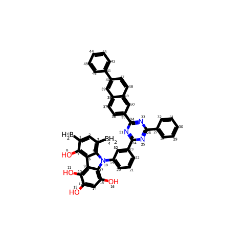 Bc1cc(B)c2c(c1O)c1c(O)c(O)cc(O)c1n2-c1cccc(-c2nc(-c3ccccc3)nc(-c3ccc4cc(-c5ccccc5)ccc4c3)n2)c1